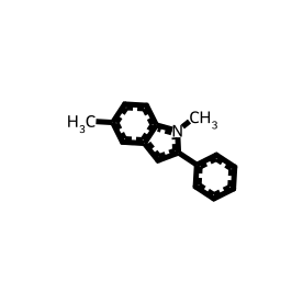 Cc1ccc2c(c1)cc(-c1ccccc1)n2C